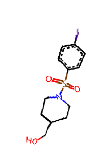 O=S(=O)(c1ccc(I)cc1)N1CCC(CO)CC1